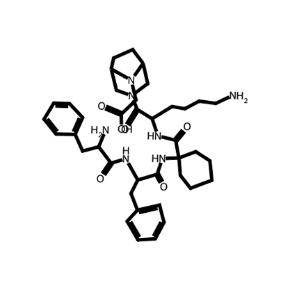 NCCCCC(NC(=O)C1(NC(=O)C(Cc2ccccc2)NC(=O)C(N)Cc2ccccc2)CCCCC1)C(=O)N1CC2CCC(C1)N2CC(=O)O